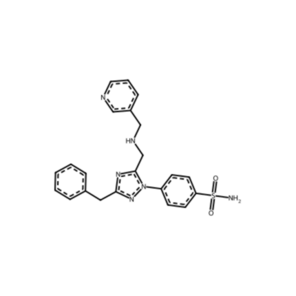 NS(=O)(=O)c1ccc(-n2nc(Cc3ccccc3)nc2CNCc2cccnc2)cc1